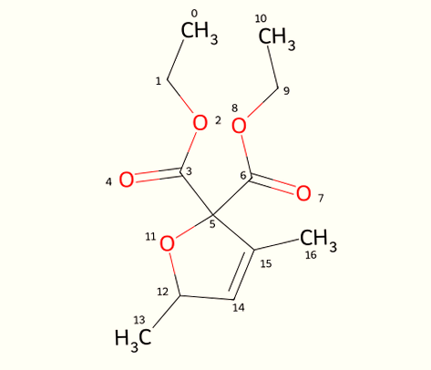 CCOC(=O)C1(C(=O)OCC)OC(C)C=C1C